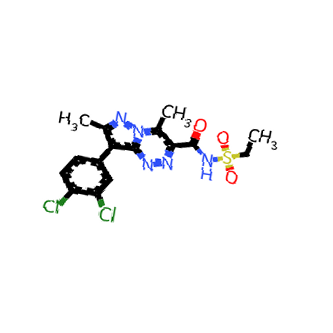 CCS(=O)(=O)NC(=O)c1nnc2c(-c3ccc(Cl)c(Cl)c3)c(C)nn2c1C